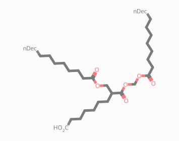 CCCCCCCCCCCCCCCCCC(=O)OCOC(=O)C(CCCCCCC(=O)O)COC(=O)CCCCCCCCCCCCCCCCC